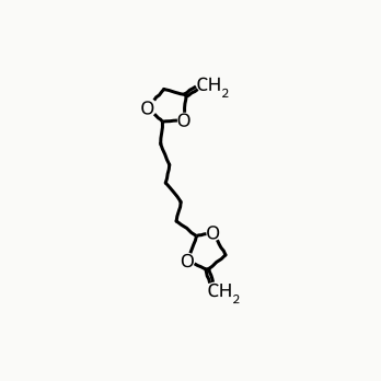 C=C1COC(CCCCCC2OCC(=C)O2)O1